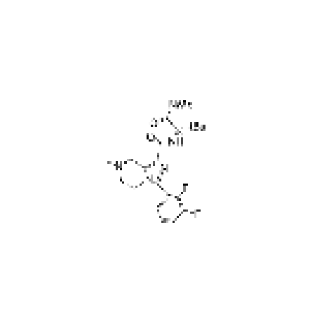 CNC(=O)[C@@H](NC(=O)c1nc(-c2cccc(F)c2F)n2c1CN(C)CC2)C(C)(C)C